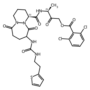 C[C@H](NC(=O)[C@@H]1CCCN2C(=O)CCC(NC(=O)NCCc3cccs3)C(=O)N12)C(=O)COC(=O)c1c(Cl)cccc1Cl